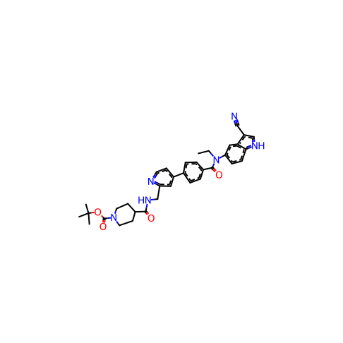 CCN(C(=O)c1ccc(-c2ccnc(CNC(=O)C3CCN(C(=O)OC(C)(C)C)CC3)c2)cc1)c1ccc2[nH]cc(C#N)c2c1